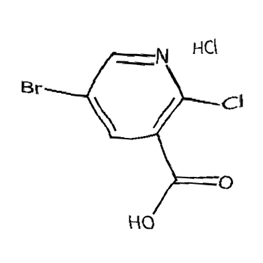 Cl.O=C(O)c1cc(Br)cnc1Cl